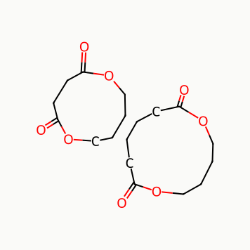 O=C1CCC(=O)OCCCCO1.O=C1CCCCC(=O)OCCCCO1